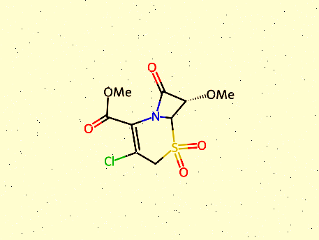 COC(=O)C1=C(Cl)CS(=O)(=O)C2[C@@H](OC)C(=O)N12